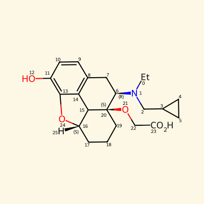 CCN(CC1CC1)[C@@H]1Cc2ccc(O)c3c2C2[C@H](CCC[C@]21OCC(=O)O)O3